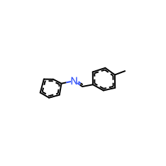 Cc1ccc(/C=N/c2ccccc2)cc1